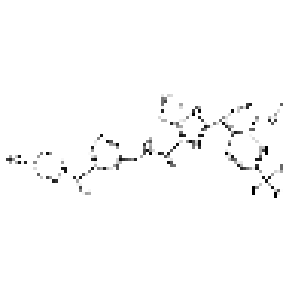 COc1ccc(-c2nc(C(=O)NCc3cccc(C(=O)N4CCC(O)CC4)c3)c(CN)o2)c2ccc(C(F)(F)F)nc12